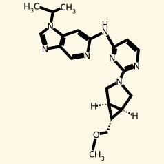 COC[C@@H]1[C@H]2CN(c3nccc(Nc4cc5c(cn4)ncn5C(C)C)n3)C[C@@H]12